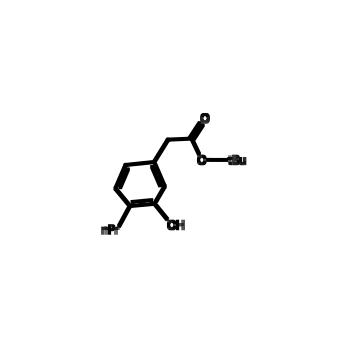 CCCc1ccc(CC(=O)OC(C)(C)C)cc1O